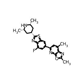 Cc1nc2c(C)cc(-c3cc(F)c4nc([C@H]5C[C@@H](C)N[C@@H](C)C5)sc4c3)nc2o1